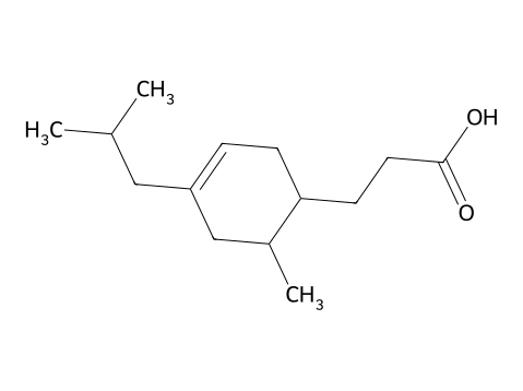 CC(C)CC1=CCC(CCC(=O)O)C(C)C1